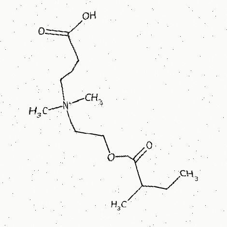 CCC(C)C(=O)OCC[N+](C)(C)CCC(=O)O